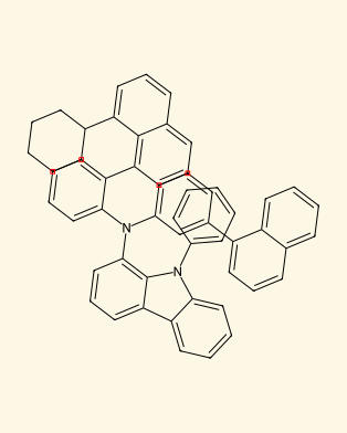 c1ccc(-n2c3ccccc3c3cccc(N(c4cccc(-c5cccc6ccccc56)c4)c4ccccc4-c4cccc5cccc(C6CCCCC6)c45)c32)cc1